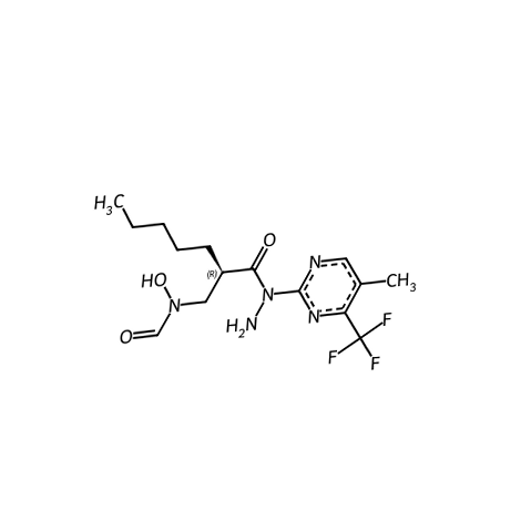 CCCCC[C@H](CN(O)C=O)C(=O)N(N)c1ncc(C)c(C(F)(F)F)n1